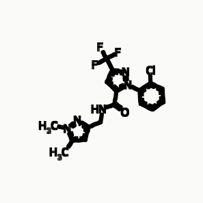 Cc1cc(CNC(=O)c2cc(C(F)(F)F)nn2-c2ccccc2Cl)nn1C